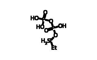 CC[SiH2]OP(=O)(O)OP(=O)(O)O